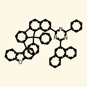 c1ccc(-c2nc(-c3ccc4ccc5c(c4c3)C(c3ccccc3)(c3ccccc3)c3c-5cccc3-c3cccc4oc5ccccc5c34)nc(-c3cc4ccccc4c4ccccc34)n2)cc1